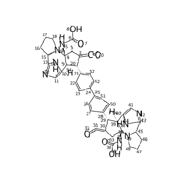 O=C=C1C[C@]2(NC(=O)O)[C@H](c3cnc([nH]3)C3CCCN32)[C@H]1c1ccc(-c2ccc([C@H]3C(=C=O)C[C@]4(NC(=O)O)[C@@H]3c3cnc([nH]3)C3CCCN34)cc2)cc1